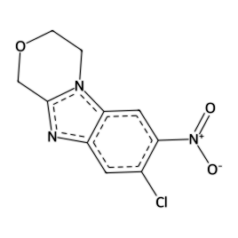 O=[N+]([O-])c1cc2c(cc1Cl)nc1n2CCOC1